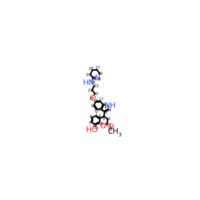 COC(=O)CC(c1cccc(O)c1)c1c[nH]c2cc(OCCCNC3=NCCCC3)ccc12